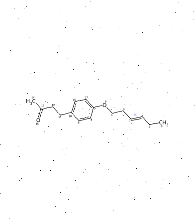 CC/C=C/CCOc1ccc(CCC(C)=O)cc1